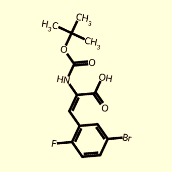 CC(C)(C)OC(=O)N/C(=C/c1cc(Br)ccc1F)C(=O)O